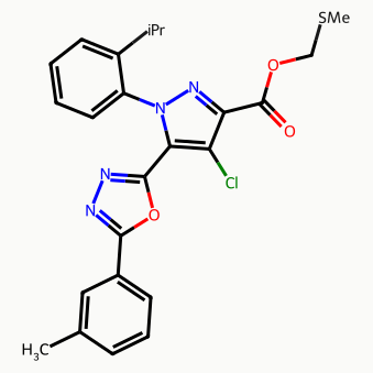 CSCOC(=O)c1nn(-c2ccccc2C(C)C)c(-c2nnc(-c3cccc(C)c3)o2)c1Cl